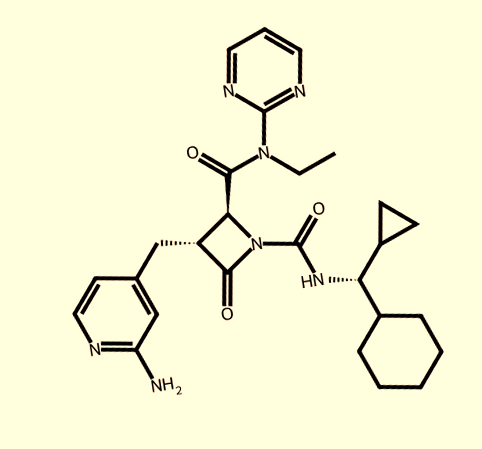 CCN(C(=O)[C@@H]1[C@@H](Cc2ccnc(N)c2)C(=O)N1C(=O)N[C@@H](C1CCCCC1)C1CC1)c1ncccn1